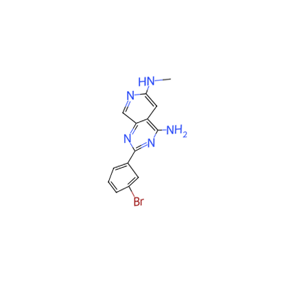 CNc1cc2c(N)nc(-c3cccc(Br)c3)nc2cn1